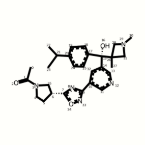 CC(=O)N1CC[C@@H](c2nc(-c3cncc([C@@](O)(c4ccc(C(C)C)cc4)C4(C)CN(C)C4)c3)no2)C1